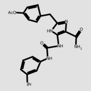 CC(=O)Oc1ccc(Cc2nc(C(N)=O)c(NC(=O)Nc3cccc(C(C)C)c3)[nH]2)cc1